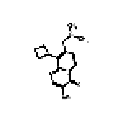 CCCc1cnc2c(C3CCC3)c(CN(C)C)ccn2c1=O